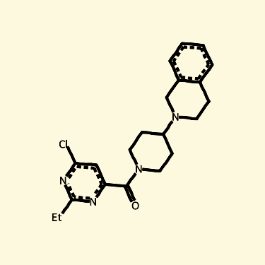 CCc1nc(Cl)cc(C(=O)N2CCC(N3CCc4ccccc4C3)CC2)n1